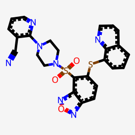 N#Cc1cccnc1N1CCN(S(=O)(=O)c2c(Sc3cccc4cccnc34)ccc3nonc23)CC1